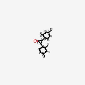 Cc1ccc(C2C(=O)C2c2ccc(C)cc2C)c(C)c1